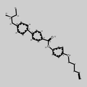 C=CCCCOc1ccc(OC(=O)c2ccc(-c3ccc(C[C@@H](C)CC)cc3)cc2)cc1